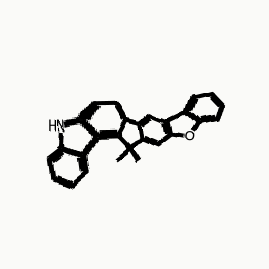 CC1(C)c2cc3oc4ccccc4c3cc2-c2ccc3[nH]c4ccccc4c3c21